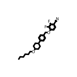 CCCCCCOC1CCC(c2ccc(COc3ccc(C#N)c(F)c3F)cc2)CC1